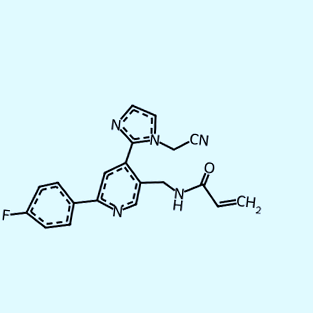 C=CC(=O)NCc1cnc(-c2ccc(F)cc2)cc1-c1nccn1CC#N